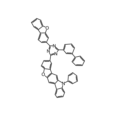 c1ccc(-c2cccc(-c3nc(-c4ccc5c(c4)oc4ccccc45)nc(-c4ccc5oc6cc7c8ccccc8n(-c8ccccc8)c7cc6c5c4)n3)c2)cc1